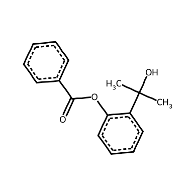 CC(C)(O)c1ccccc1OC(=O)c1ccccc1